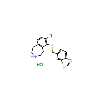 Cl.Clc1ccc2c(c1SCc1ccc3ncsc3c1)CCNCC2